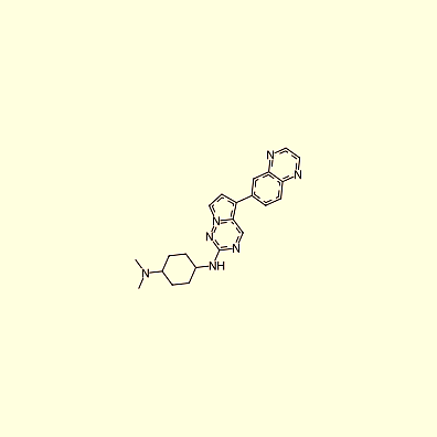 CN(C)C1CCC(Nc2ncc3c(-c4ccc5nccnc5c4)ccn3n2)CC1